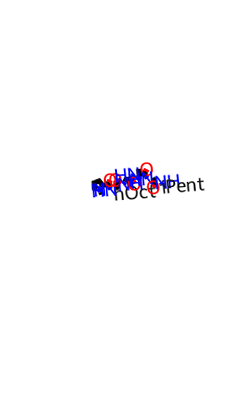 CCCCCCCCC(NC(=O)C1CCCN1C)C(=O)NCC(=O)NC(C)(C)C(=O)NCC(=O)NC(C)CCC